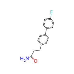 NC(=O)CCc1ccc(-c2ccc(F)cc2)cc1